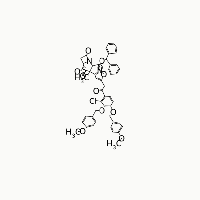 COc1ccc(COc2ccc(C(=O)Cc3cc(C4(C)C(C(=O)OC(c5ccccc5)c5ccccc5)N5C(=O)CC5S4(=O)=O)no3)c(Cl)c2OCc2ccc(OC)cc2)cc1